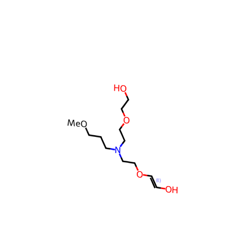 COCCCN(CCO/C=C/O)CCOCCO